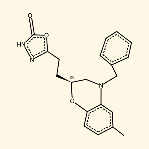 Cc1ccc2c(c1)N(Cc1ccccc1)C[C@H](CCc1n[nH]c(=O)o1)O2